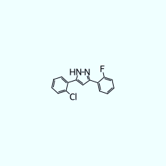 Fc1ccccc1-c1cc(-c2ccccc2Cl)[nH]n1